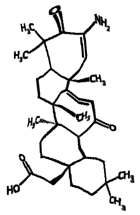 CC1(C)CC[C@]2(CC(=O)O)CC[C@]3(C)C(C(=O)C=C4[C@@]5(C)C=C(N)C(=O)C(C)(C)C5CC[C@]43C)C2C1